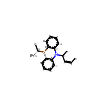 C/C=C\C(C)N(c1ccccc1)c1ccccc1S[C@@H](C)C(C)C